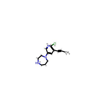 CC#Cc1cc(N2CCCNCC2)cnc1Cl